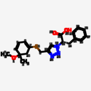 COC1(C)C=CC=C(SCc2cn([C@@H](Cc3ccccc3)C(=O)O)nn2)C1